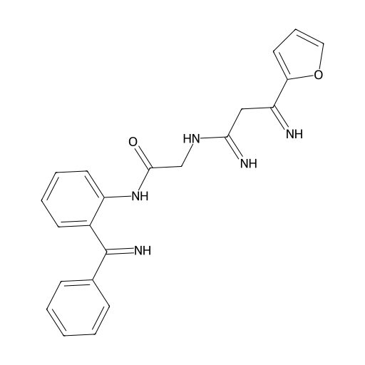 N=C(CC(=N)c1ccco1)NCC(=O)Nc1ccccc1C(=N)c1ccccc1